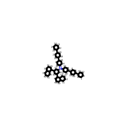 c1ccc(-c2ccc(-c3ccc(N(c4ccc(-c5ccc(-c6ccccc6)cc5)cc4)c4cc(-c5cccc6ccccc56)cc(-c5cccc6ccccc56)c4)cc3)cc2)cc1